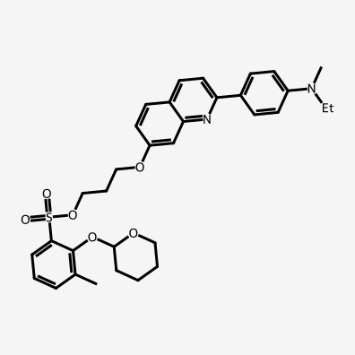 CCN(C)c1ccc(-c2ccc3ccc(OCCCOS(=O)(=O)c4cccc(C)c4OC4CCCCO4)cc3n2)cc1